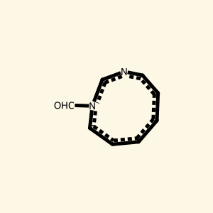 O=Cn1ccccccnc1